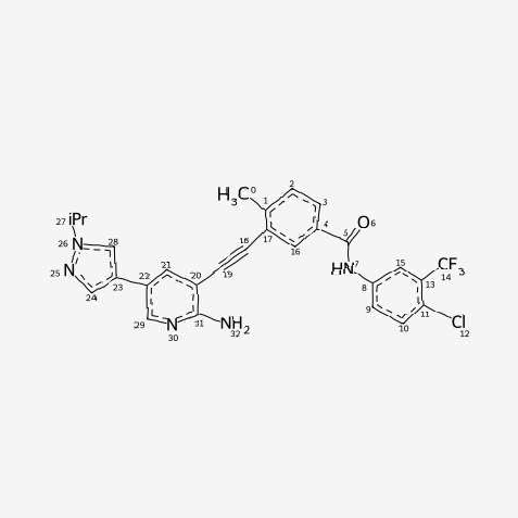 Cc1ccc(C(=O)Nc2ccc(Cl)c(C(F)(F)F)c2)cc1C#Cc1cc(-c2cnn(C(C)C)c2)cnc1N